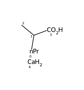 CCCC(C)C(=O)O.[CaH2]